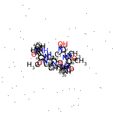 CCc1nc(O)ccc1-c1nc2cc(C(=O)N3C[C@H]4CC[C@@H]3[C@@H]4NCOc3ccc(-c4nc5cc(C(=O)N6C[C@H]7CC[C@@H]6[C@@H]7N)cc(OC)c5n4C)c(CC)n3)cc(OC)c2n1C